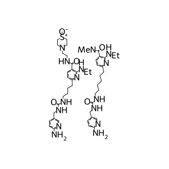 CCNc1nc(CCCCCCNC(=O)NCc2ccc(N)nc2)ccc1C(=O)NC.CCNc1nc(CCCCNC(=O)NCc2ccc(N)nc2)ccc1C(=O)NCCN1CC[S+]([O-])CC1